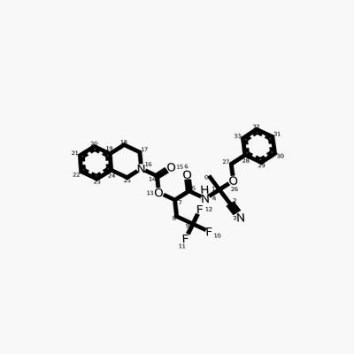 CC(C#N)(NC(=O)C(CC(F)(F)F)OC(=O)N1CCc2ccccc2C1)OCc1ccccc1